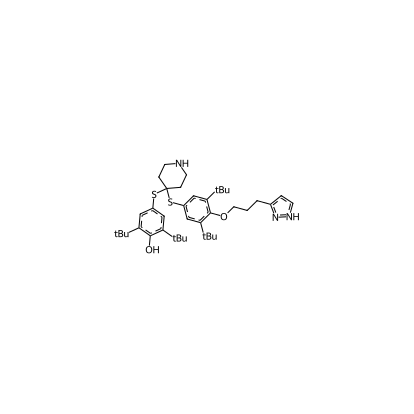 CC(C)(C)c1cc(SC2(Sc3cc(C(C)(C)C)c(OCCCc4cc[nH]n4)c(C(C)(C)C)c3)CCNCC2)cc(C(C)(C)C)c1O